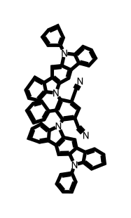 N#Cc1cc(C#N)c(-n2c3ccccc3c3cc4c(cc32)c2ccccc2n4-c2ccccc2)c(-c2ccccc2)c1-n1c2ccccc2c2cc3c(cc21)c1ccccc1n3-c1ccccc1